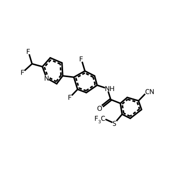 N#Cc1ccc(SC(F)(F)F)c(C(=O)Nc2cc(F)c(-c3ccc(C(F)F)nc3)c(F)c2)c1